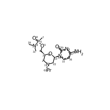 CC(C)N1C[C@@H](COP(C)(=O)N(C)C)O[C@@H](n2ccc(N)nc2=O)C1